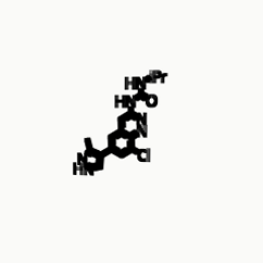 Cc1n[nH]cc1-c1cc(Cl)c2nnc(NC(=O)NC(C)C)cc2c1